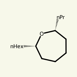 CCCCCC[C@H]1CCCC[C@@H](CCC)O1